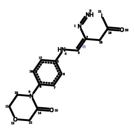 N=N/C(=C\Nc1ccc(N2CCOCC2=O)cc1)CC(=O)I